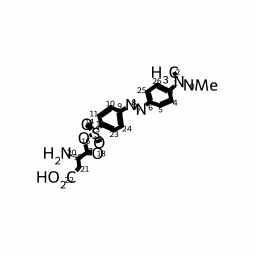 CNN(C)c1ccc(N=Nc2ccc(S(=O)(=O)OC(=O)[C@@H](N)CC(=O)O)cc2)cc1